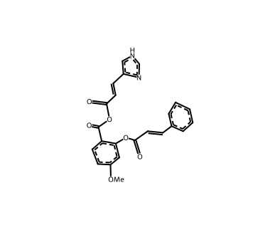 COc1ccc(C(=O)OC(=O)C=Cc2c[nH]cn2)c(OC(=O)/C=C/c2ccccc2)c1